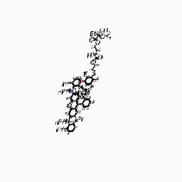 CCCc1cccc(C(C)C)c1N(CCC)c1ccc2c(-c3ccccc3S(=O)(=O)NS(=O)(=O)c3c(F)c(F)c(SCCOC(=O)NCCOC(=O)C(C)(C)CC)c(F)c3F)c3cc/c(=[N+](/CCC)c4ccccc4C(C)C)cc-3oc2c1